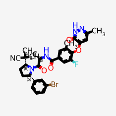 Cc1cc(Oc2c(C)cc(C(=O)N[C@H](C)C(=O)N3[C@H](c4cccc(Br)c4)CC[C@@H]3C(C)(C)C#N)cc2F)c(=O)[nH]n1